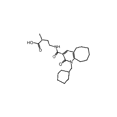 CC(CCNC(=O)c1cc2c(n(CC3CCCCC3)c1=O)CCCCCC2)C(=O)O